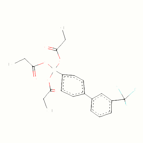 CCC(=O)O[Si](OC(=O)CC)(OC(=O)CC)c1ccc(-c2cccc(C(F)(F)F)c2)cc1